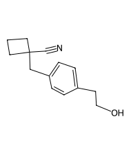 N#CC1(Cc2ccc(CCO)cc2)CCC1